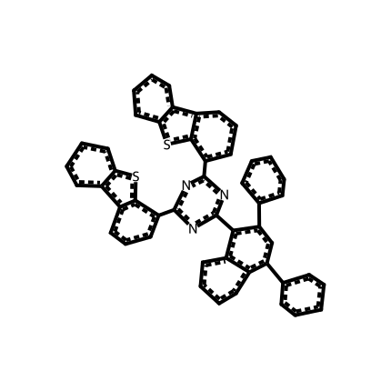 c1ccc(-c2cc(-c3ccccc3)c3ccccc3c2-c2nc(-c3cccc4c3sc3ccccc34)nc(-c3cccc4c3sc3ccccc34)n2)cc1